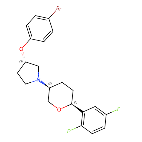 Fc1ccc(F)c([C@@H]2CC[C@H](N3CC[C@H](Oc4ccc(Br)cc4)C3)CO2)c1